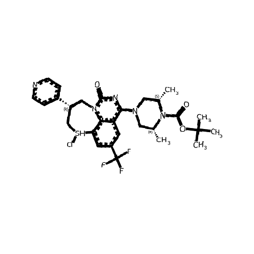 C[C@@H]1CN(c2nc(=O)n3c4c(cc(C(F)(F)F)cc24)[SH](Cl)C[C@H](c2ccncc2)C3)C[C@H](C)N1C(=O)OC(C)(C)C